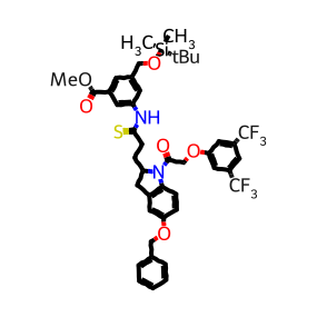 COC(=O)c1cc(CO[Si](C)(C)C(C)(C)C)cc(NC(=S)CCC2Cc3cc(OCc4ccccc4)ccc3N2C(=O)COc2cc(C(F)(F)F)cc(C(F)(F)F)c2)c1